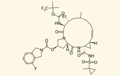 CC[C@@H]1CC(C)CC/C=C\[C@@H]2C[C@@]2(C(=O)NS(=O)(=O)C2(C)CC2)NC(=O)[C@@H]2C[C@@H](OC(=O)N3Cc4cccc(F)c4C3)CN2C(=O)[C@H]1NC(=O)OC(C)(C)C(F)(F)F